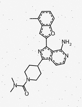 Cc1cccc2oc(-c3nc(C4CCN(C(=O)N(C)C)CC4)n4ccnc(N)c34)cc12